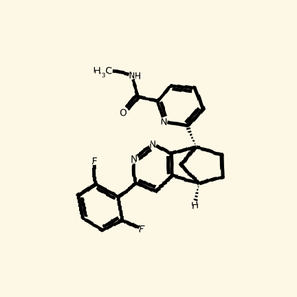 CNC(=O)c1cccc([C@]23CC[C@H](C2)c2cc(-c4c(F)cccc4F)nnc23)n1